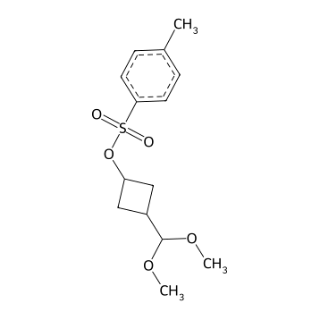 COC(OC)C1CC(OS(=O)(=O)c2ccc(C)cc2)C1